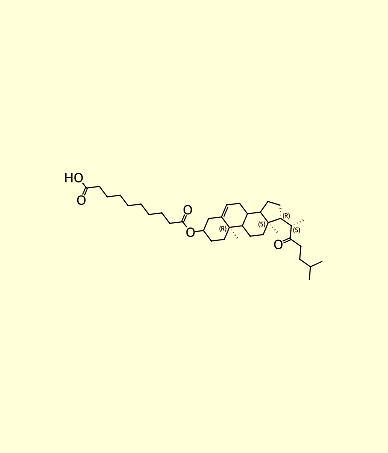 CC(C)CCC(=O)[C@@H](C)[C@H]1CCC2C3CC=C4CC(OC(=O)CCCCCCCCC(=O)O)CC[C@]4(C)C3CC[C@@]21C